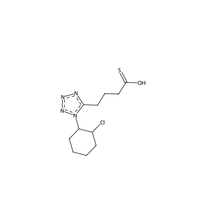 OC(=S)CCCc1nnnn1C1CCCCC1Cl